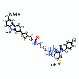 CCCSc1nc(NCCOCCNC(=O)CCc2csc(-c3ccc4c5cc(CNC)ccc5n(CC)c4c3)c2)c(N)c(N(N)Cc2ccc(Cl)cc2)n1